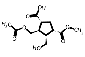 COC(=O)[C@H]1C[C@@H](C(=O)O)[C@H](COC(C)=O)[C@@H]1CO